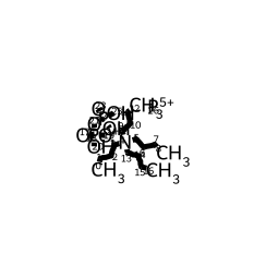 CCCC[N+](CCCC)(CCCC)CCCC.O=P([O-])(O)OP(=O)(O)O.[P+5]